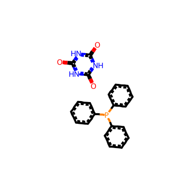 O=c1[nH]c(=O)[nH]c(=O)[nH]1.c1ccc(P(c2ccccc2)c2ccccc2)cc1